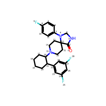 O=C1NCN(c2ccc(F)cc2)C12CCN(C1CCCCC1c1cc(F)cc(F)c1)CC2